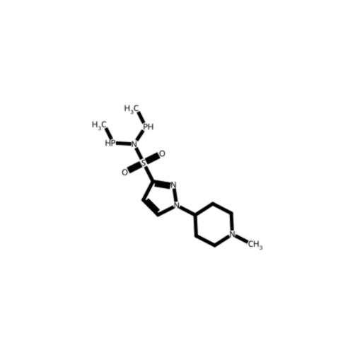 CPN(PC)S(=O)(=O)c1ccn(C2CCN(C)CC2)n1